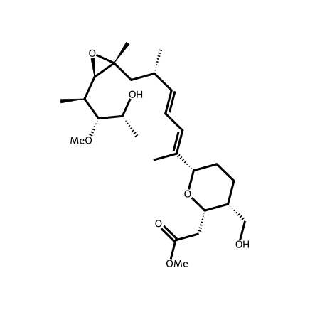 COC(=O)C[C@@H]1O[C@H](/C(C)=C/C=C/[C@@H](C)C[C@@]2(C)O[C@@H]2[C@H](C)[C@@H](OC)[C@@H](C)O)CC[C@@H]1CO